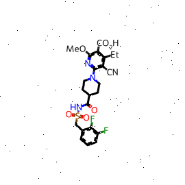 CCc1c(C#N)c(N2CCC(C(=O)NS(=O)(=O)Cc3cccc(F)c3F)CC2)nc(OC)c1C(=O)O